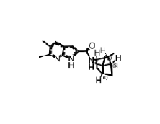 Cc1cc2cc(C(=O)N[C@H]3C[C@H]4C[C@@H]([C@@H]3C)C4(C)C)[nH]c2nc1C